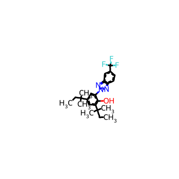 CCC(C)(C)c1cc(-n2nc3ccc(C(F)(F)F)cc3n2)c(O)c(C(C)(C)CC)c1